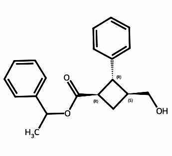 CC(OC(=O)[C@@H]1C[C@H](CO)[C@H]1c1ccccc1)c1ccccc1